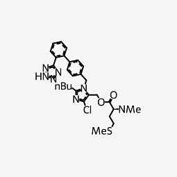 CCCCc1nc(Cl)c(COC(=O)[C@H](CCSC)NC)n1Cc1ccc(-c2ccccc2-c2nn[nH]n2)cc1